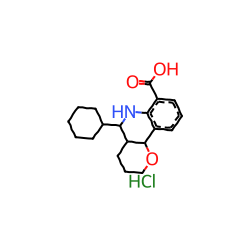 Cl.O=C(O)c1cccc2c1NC(C1CCCCC1)C1CCCOC21